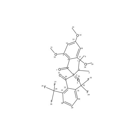 CCC(C)P(=O)(C(=O)c1c(OC)cc(OC)cc1OC)C(=O)c1c(C(F)(F)F)cccc1C(F)(F)F